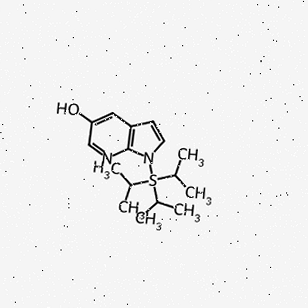 CC(C)S(C(C)C)(C(C)C)n1ccc2cc(O)cnc21